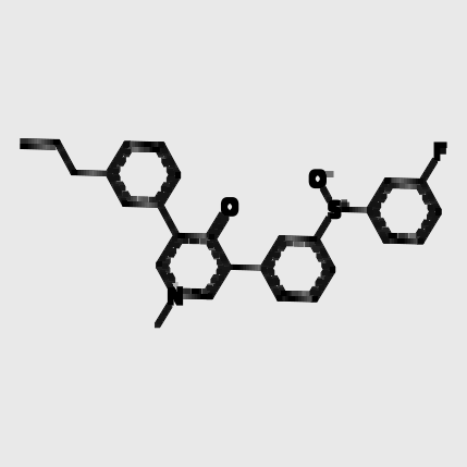 C=CCc1cccc(-c2cn(C)cc(-c3cccc([S+]([O-])c4cccc(F)c4)c3)c2=O)c1